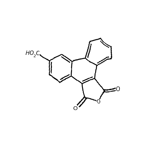 O=C(O)c1ccc2c3c(c4ccccc4c2c1)C(=O)OC3=O